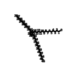 CCCCCCCCCCCCCCCC1N(CCCCCCCCCCCC)C=CN1CCCCCCCCCCCCCCC